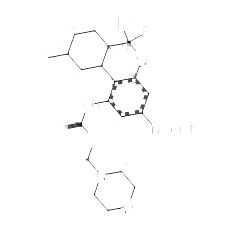 CCCCCc1cc(OC(=O)OCN2CCOCC2)c2c(c1)OC(F)(F)C1CCC(C)CC21